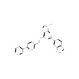 CC(C)n1cnc2c(NCc3ccc(-c4cccnc4)nc3)nc(-c3ccc4cn[nH]c4c3)nc21